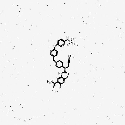 CC#CCN(C(=O)Nc1cc(C(N)=O)c(F)cc1F)C1CCN(Cc2ccc(Oc3ccc(NS(C)(=O)=O)cc3)nc2)CC1